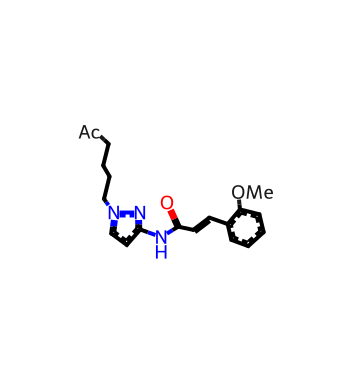 COc1ccccc1C=CC(=O)Nc1ccn(CCCCC(C)=O)n1